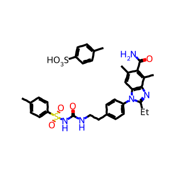 CCc1nc2c(C)c(C(N)=O)c(C)cc2n1-c1ccc(CCNC(=O)NS(=O)(=O)c2ccc(C)cc2)cc1.Cc1ccc(S(=O)(=O)O)cc1